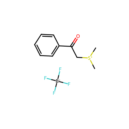 C[S+](C)CC(=O)c1ccccc1.F[B-](F)(F)F